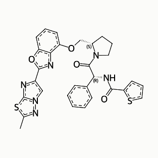 Cc1nn2cc(-c3nc4c(OC[C@@H]5CCCN5C(=O)[C@H](NC(=O)c5cccs5)c5ccccc5)cccc4o3)nc2s1